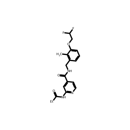 CCC(=O)Nc1cc(C(=O)NCc2cccc(OCC(F)F)c2C)ccn1